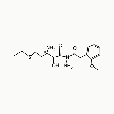 CCSCC[C@@H](N)C(O)C(=O)N(N)C(=O)Cc1ccccc1OC